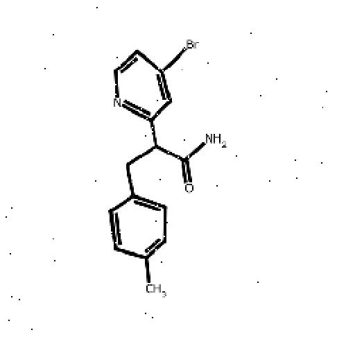 Cc1ccc(CC(C(N)=O)c2cc(Br)ccn2)cc1